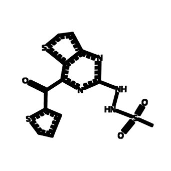 CS(=O)(=O)NNc1nc(C(=O)c2cccs2)c2sccc2n1